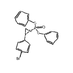 O=P(Oc1ccccc1)(Oc1ccccc1)N1CC1c1ccc(Br)cc1